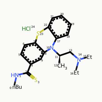 CCCCNC(=S)c1ccc2c(c1)N([C@H](C)CN(CC)CC)c1ccccc1S2.Cl